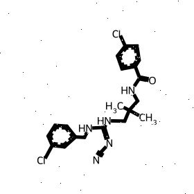 CC(C)(CNC(=O)c1ccc(Cl)cc1)CNC(=NC#N)NCc1cccc(Cl)c1